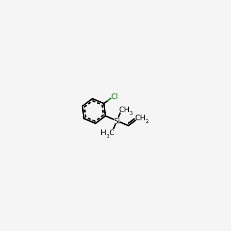 C=C[Si](C)(C)c1ccccc1Cl